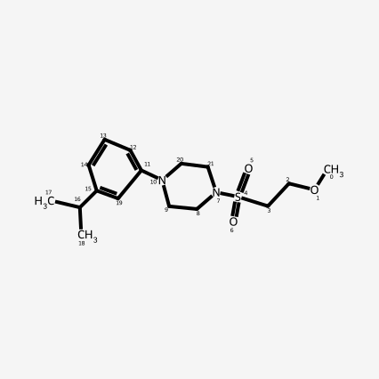 COCCS(=O)(=O)N1CCN(c2cccc(C(C)C)c2)CC1